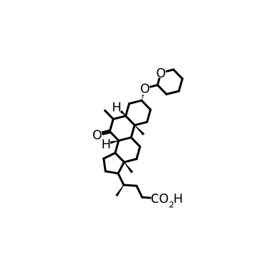 CC1C(=O)[C@H]2C3CCC([C@H](C)CCC(=O)O)[C@@]3(C)CCC2[C@@]2(C)CC[C@@H](OC3CCCCO3)C[C@@H]12